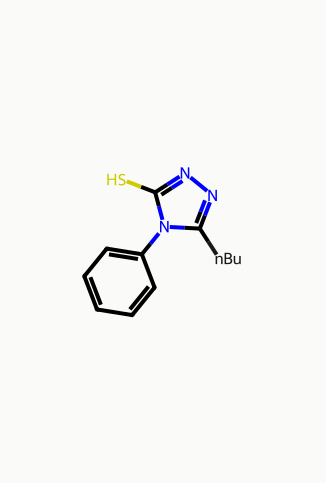 CCCCc1nnc(S)n1-c1ccccc1